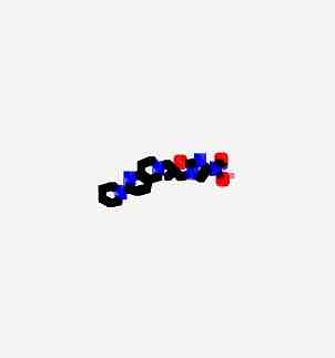 CC1(CN2CCc3nc(N4CCCCC4)ccc3C2)Cn2cc([N+](=O)[O-])nc2O1